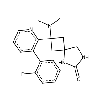 CN(C)C1(c2ncccc2-c2ccccc2F)CC2(CNC(=O)N2)C1